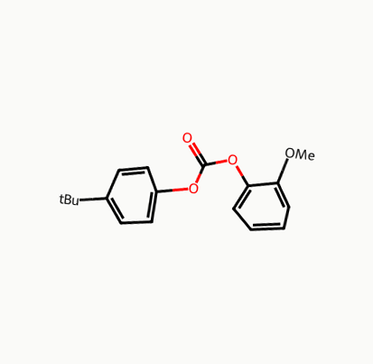 COc1ccccc1OC(=O)Oc1ccc(C(C)(C)C)cc1